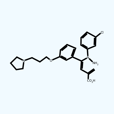 C=C(/C=C(/c1cccc(OCCCN2CCCC2)c1)N(N)c1cccc(Cl)c1)C(=O)O